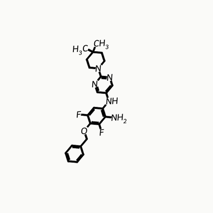 CC1(C)CCN(c2ncc(Nc3cc(F)c(OCc4ccccc4)c(F)c3N)cn2)CC1